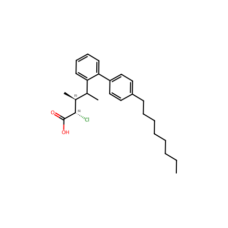 CCCCCCCCc1ccc(-c2ccccc2C(C)[C@H](C)[C@H](Cl)C(=O)O)cc1